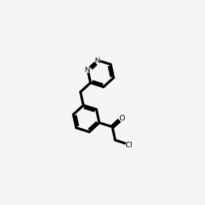 O=C(CCl)c1cccc(Cc2cccnn2)c1